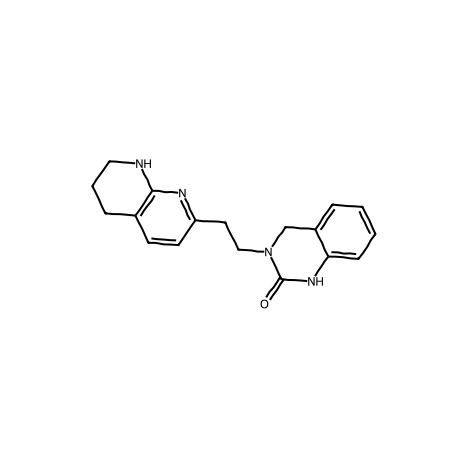 O=C1Nc2ccccc2CN1CCc1ccc2c(n1)NCCC2